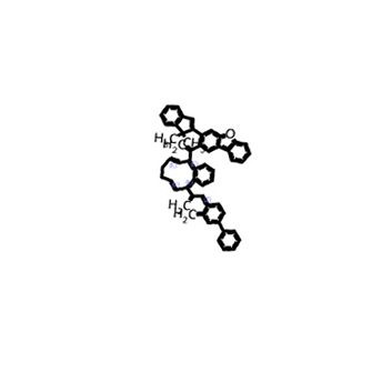 C=C(/C=c1/ccc(-c2ccccc2)cc1=C)C1=c2\cccc\c2=C(C(=C)c2cc3c(cc2C2=Cc4ccccc4C2(C)C)oc2ccccc23)\C=C\CC\C=C\1